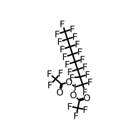 O=C(OI(OC(=O)C(F)(F)F)C(F)(F)C(F)(F)C(F)(F)C(F)(F)C(F)(F)C(F)(F)C(F)(F)C(F)(F)F)C(F)(F)F